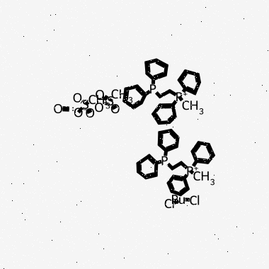 CS(=O)(=O)[O-].CS(=O)(=O)[O-].C[P+](CCP(c1ccccc1)c1ccccc1)(c1ccccc1)c1ccccc1.C[P+](CCP(c1ccccc1)c1ccccc1)(c1ccccc1)c1ccccc1.[C]=O.[Cl][Ru][Cl]